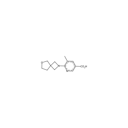 Cc1cc(C(=O)O)cnc1N1CC2(CCOC2)C1